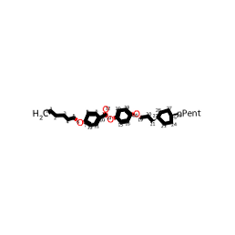 C=CCCCCOc1ccc(C(=O)Oc2ccc(OCCC[C@H]3CC[C@H](CCCCC)CC3)cc2)cc1